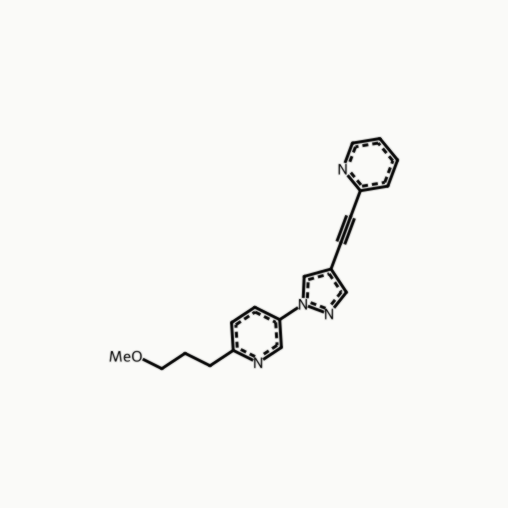 COCCCc1ccc(-n2cc(C#Cc3ccccn3)cn2)cn1